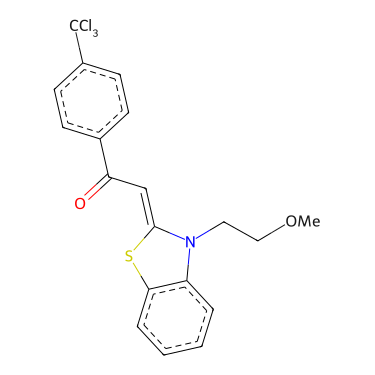 COCCN1/C(=C/C(=O)c2ccc(C(Cl)(Cl)Cl)cc2)Sc2ccccc21